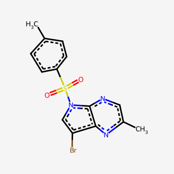 Cc1ccc(S(=O)(=O)n2cc(Br)c3nc(C)cnc32)cc1